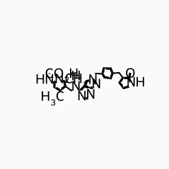 Cc1cc(NC(=O)O)nc(C)c1CNc1ncnc2nn(Cc3ccc(Cc4ccc[nH]c4=O)cc3)cc12